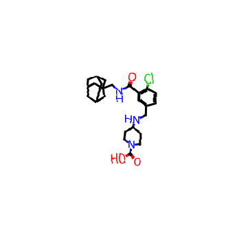 O=C(NCC12CC3CC(CC(C3)C1)C2)c1cc(CNC2CCN(C(=O)O)CC2)ccc1Cl